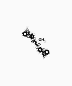 CN(C)CC(c1ccc(OC(=O)/C=C/C(=O)Oc2ccc(C(CN(C)C)C3(O)CCCCC3)cc2)cc1)C1(O)CCCCC1.O